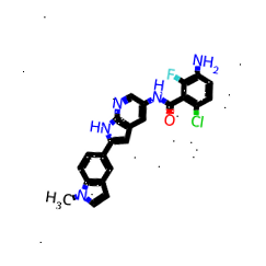 Cn1ccc2cc(-c3cc4cc(NC(=O)c5c(Cl)ccc(N)c5F)cnc4[nH]3)ccc21